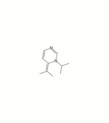 CC(C)=C1C=CN=CN1C(C)C